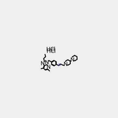 CCCc1nc2c(C)cc(C)nc2n1Cc1ccc(/C=C/CN2CCC(N3CCCCC3)CC2)cc1.Cl.Cl